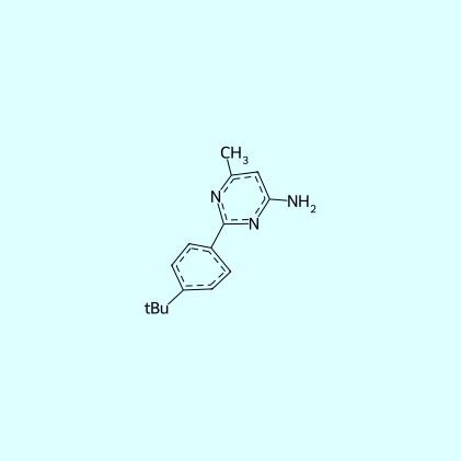 Cc1cc(N)nc(-c2ccc(C(C)(C)C)cc2)n1